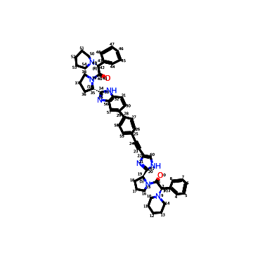 O=C([C@@H](c1ccccc1)N1CCCCC1)N1CCC[C@H]1c1nc(C#Cc2ccc(-c3ccc4[nH]c([C@@H]5CCCN5C(=O)[C@@H](c5ccccc5)N5CCCCC5)nc4c3)cc2)c[nH]1